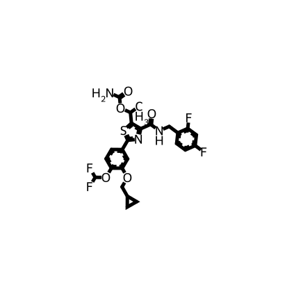 CC(OC(N)=O)c1sc(-c2ccc(OC(F)F)c(OCC3CC3)c2)nc1C(=O)NCc1ccc(F)cc1F